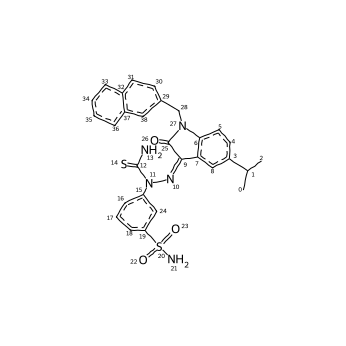 CC(C)c1ccc2c(c1)/C(=N/N(C(N)=S)c1cccc(S(N)(=O)=O)c1)C(=O)N2Cc1ccc2ccccc2c1